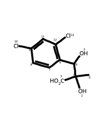 CC(O)(C(=O)O)C(O)c1ccc(Cl)cc1Cl